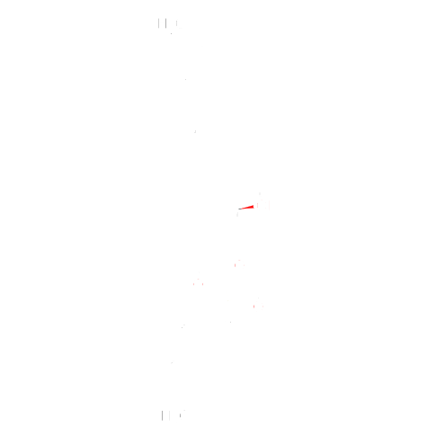 C=CCCCCC[C@@H](O)COS(=O)(=O)c1ccc(C)cc1